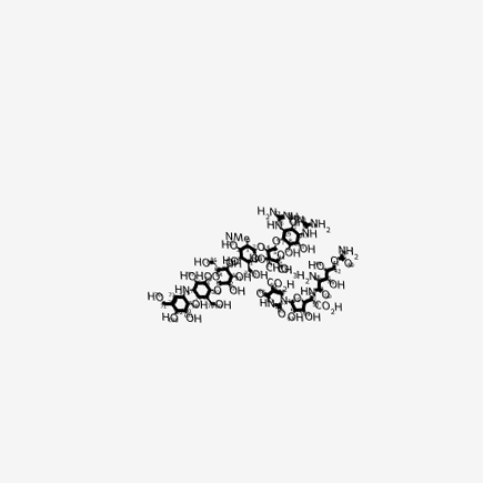 CN[C@@H]1[C@H](O[C@H]2[C@H](O[C@H]3[C@H](O)[C@@H](O)[C@H](NC(=N)N)[C@@H](O)[C@@H]3NC(=N)N)O[C@@H](C)[C@]2(O)C=O)O[C@@H](CO)[C@H](O)[C@H]1O.NC(=O)OC[C@@H](O)[C@H](O)[C@@H](N)C(=O)N[C@H](C(=O)O)[C@H]1O[C@@H](n2cc(C(=O)O)c(=O)[nH]c2=O)[C@H](O)[C@@H]1O.OCC1=C[C@H](N[C@H]2C[C@H](CO)[C@@H](O[C@@H]3O[C@H](CO)[C@@H](O)[C@H](O)[C@H]3O)[C@H](O)[C@H]2O)[C@H](O)[C@@H](O)[C@H]1O